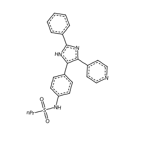 CCCS(=O)(=O)Nc1ccc(-c2[nH]c(-c3ccccc3)nc2-c2ccncc2)cc1